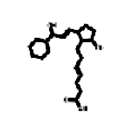 O=C(O)CCC=CCCC1C(O)CCC1C=CC(O)C1CCCCC1